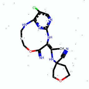 C/C(NC1(C#N)CCOCC1)=C1\Nc2ncc(Cl)c(n2)NCCCOC1=N